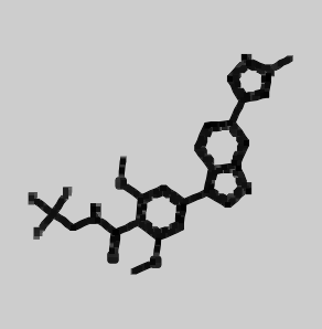 COc1cc(-c2cnn3cc(-c4cnn(C)c4)ccc23)cc(OC)c1C(=O)NCC(F)(F)F